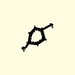 C[C](C)c1ccc(Br)cc1